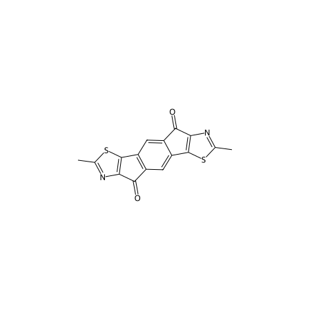 Cc1nc2c(=O)c3cc4c(cc3c2s1)c(=O)c1nc(C)sc14